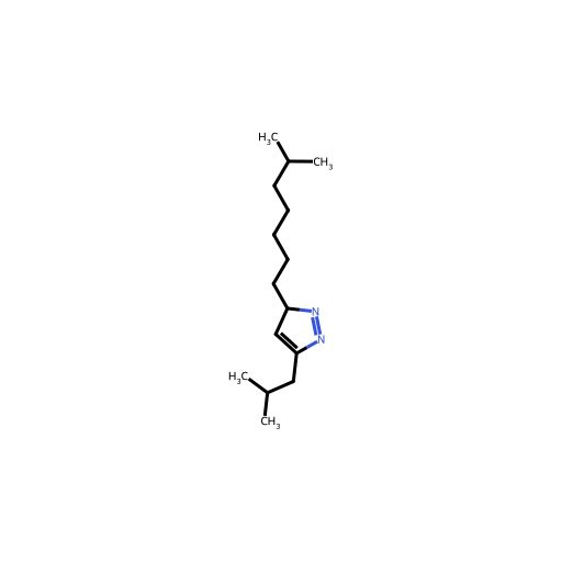 CC(C)CCCCCC1C=C(CC(C)C)N=N1